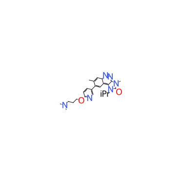 Cc1cc2nnc3c(c2cc1-c1ccc(OCCCN(C)C)nc1)n(C(C)C)c(=O)n3C